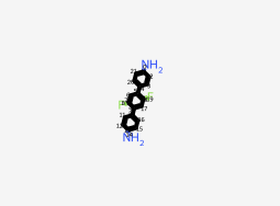 Nc1ccc(-c2cc(F)c(-c3ccc(N)cc3)cc2F)cc1